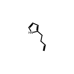 C=CC[CH]c1ccc[nH]1